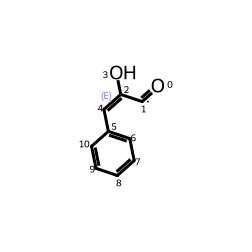 O=[C]/C(O)=C\c1ccccc1